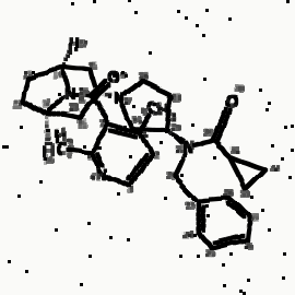 Cc1ccnc(C)c1C(=O)N1[C@@H]2CC[C@H]1C[C@H](N1CC[C@@H](N(Cc3ccccc3)C(=O)C3CC3)C1)C2